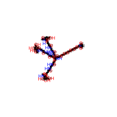 CC(=O)N[C@H]1[C@H](OCCCCC(=O)NCCCNC(=O)CCOCC(COCCC(=O)NCCCNC(=O)CCCCOC2O[C@H](CO)CC[C@H]2NC(C)=O)(COCCC(=O)NCCCNC(=O)CCCCO[C@@H]2O[C@H](CO)[C@H](O)[C@H](O)[C@H]2NC(C)=O)NC(=O)CCOCCOCCOCCOCCOCCOCCN2C(=O)C=CC2=O)O[C@H](CO)[C@H](O)[C@@H]1O